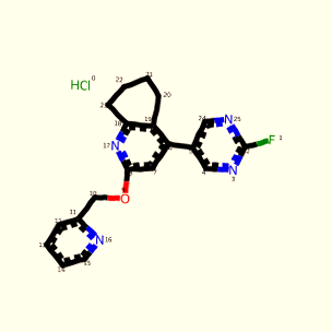 Cl.Fc1ncc(-c2cc(OCc3ccccn3)nc3c2CCCC3)cn1